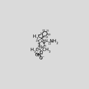 CC(O[N+](=O)[O-])C1(C)C=C2CC(CCN)(CC(C)(c3ccccc3)C2)C1